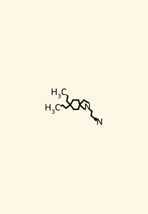 CCCC1(CCC)CCC2(CCN(CCC#N)C2)CC1